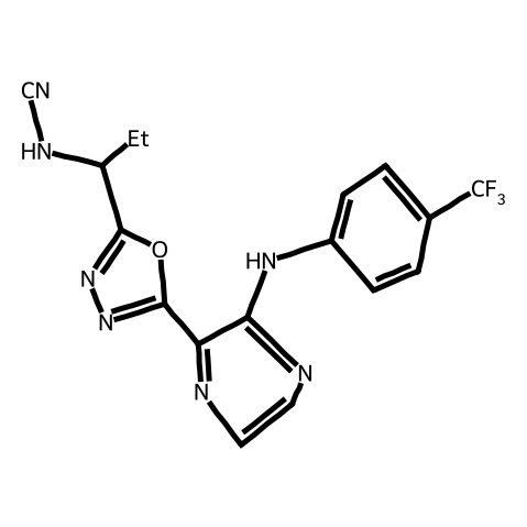 CCC(NC#N)c1nnc(-c2nccnc2Nc2ccc(C(F)(F)F)cc2)o1